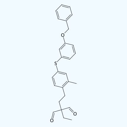 CCC(C=O)(C=O)CCc1ccc(Sc2cccc(OCc3ccccc3)c2)cc1C